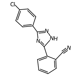 N#Cc1ccccc1-c1nc(-c2ccc(Cl)cc2)n[nH]1